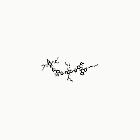 CCCCCCCCOc1cccc(-c2nc3c(-c4ccc(C)s4)ccc(-c4ccc(-c5cc6c(OCC(CC)CCCC)c7sc(-c8ccc(-c9ccc(-c%10ccc(-c%11cc%12c(OCC(CC)CCCC)c%13sc(C)cc%13c(OCC(CC)CCCC)c%12s%11)s%10)c%10nsnc9%10)s8)cc7c(OCC(CC)CCCC)c6s5)s4)c3nc2-c2cccc(C)c2)c1